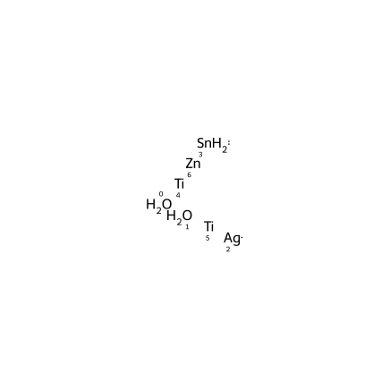 O.O.[Ag].[SnH2].[Ti].[Ti].[Zn]